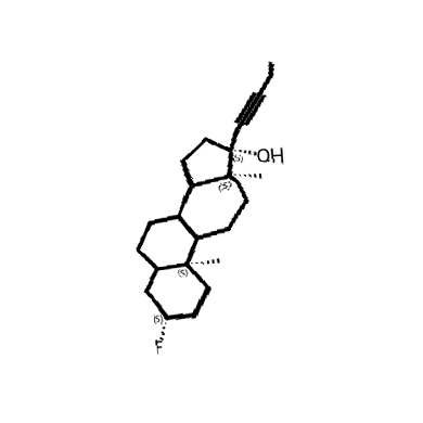 CC#C[C@]1(O)CCC2C3CCC4C[C@@H](F)CC[C@]4(C)C3CC[C@@]21C